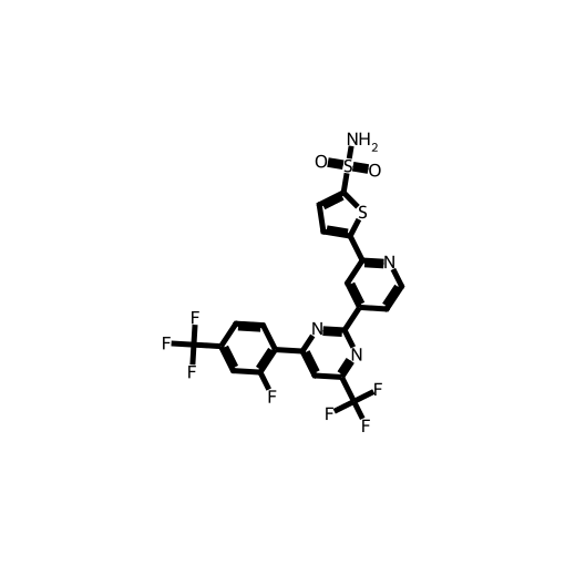 NS(=O)(=O)c1ccc(-c2cc(-c3nc(-c4ccc(C(F)(F)F)cc4F)cc(C(F)(F)F)n3)ccn2)s1